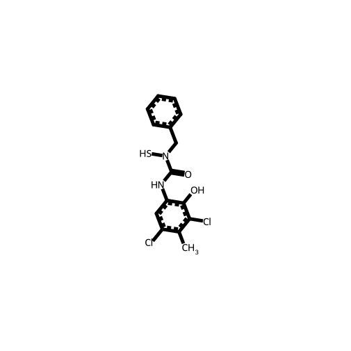 Cc1c(Cl)cc(NC(=O)N(S)Cc2ccccc2)c(O)c1Cl